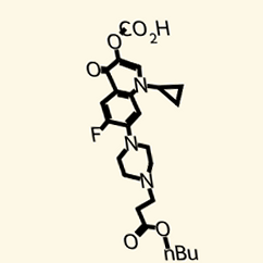 CCCCOC(=O)CCN1CCN(c2cc3c(cc2F)c(=O)c(OC(=O)O)cn3C2CC2)CC1